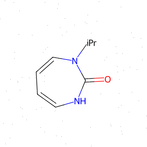 CC(C)N1C=CC=CNC1=O